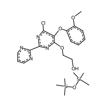 COc1ccccc1Oc1c(Cl)nc(-c2ncccn2)nc1OCCO.C[Si](C)(C)O[Si](C)(C)C